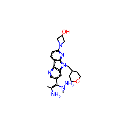 C/C(N)=C(\c1cnc2c3ccc(N4CC(O)C4)nc3n(CC3CCOCC3)c2c1)N(C)N